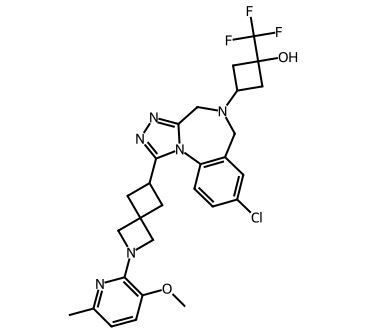 COc1ccc(C)nc1N1CC2(CC(c3nnc4n3-c3ccc(Cl)cc3CN(C3CC(O)(C(F)(F)F)C3)C4)C2)C1